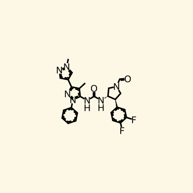 Cc1c(-c2cnn(C)c2)nn(-c2ccccc2)c1NC(=O)N[C@@H]1CN(C=O)C[C@H]1c1ccc(F)c(F)c1